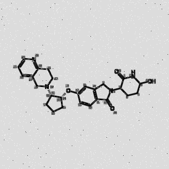 O=C1NC(O)CCC1N1Cc2cc(O[C@@H]3CCC[C@@H]3N3CCc4ncccc4C3)ccc2C1=O